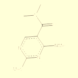 CNc1nc(SC)ncc1C(=O)N(C)C